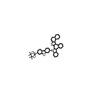 CC1(C)OB(c2ccc3c(c2)oc2cc(-n4c5ccccc5c5c6ccccc6c6c(sc7ccc8ccccc8c76)c54)ccc23)OC1(C)C